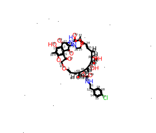 CO[C@H]1/C=C/O[C@@]2(C)Oc3c(C)c(O)c4c(c3C2=O)C(=O)C(N2CCOCC2)=C(NC(=O)/C(C)=C\C=C\[C@H](C)[C@H](O)[C@@H](C)[C@@H](O)[C@@H](C)[C@H](OC(=O)NCCc2ccc(Cl)cc2)[C@@H]1C)C4=O